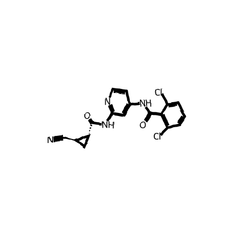 N#C[C@@H]1C[C@H]1C(=O)Nc1cc(NC(=O)c2c(Cl)cccc2Cl)ccn1